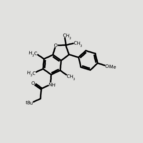 COc1ccc(C2c3c(C)c(NC(=O)CC(C)(C)C)c(C)c(C)c3OC2(C)C)cc1